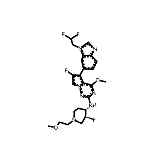 COCCN1CC[C@H](Nc2nc(OC)c3c(-c4ccc5ncn(CC(F)F)c5c4)c(F)cn3n2)[C@@H](F)C1